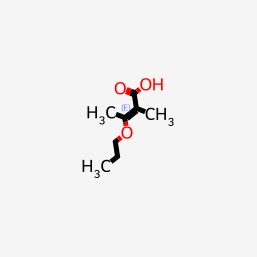 CCCO/C(C)=C(\C)C(=O)O